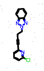 Clc1cccc(C#CCCn2nc3ccccc3n2)n1